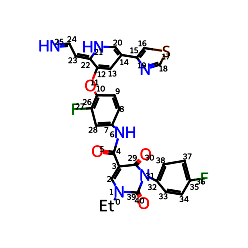 CCn1cc(C(=O)Nc2ccc(OC3=CC(c4cscn4)=CN/C3=C\C=N)c(F)c2)c(=O)n(-c2ccc(F)cc2)c1=O